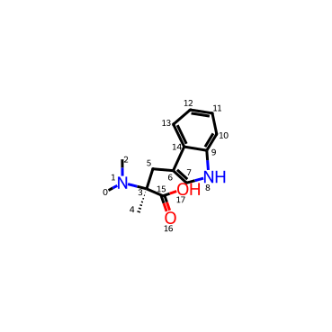 CN(C)[C@@](C)(Cc1c[nH]c2ccccc12)C(=O)O